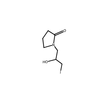 O=C1CCCN1CC(O)CI